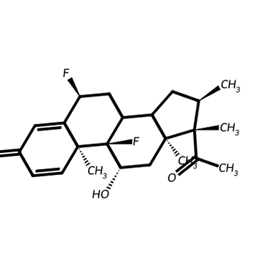 CC(=O)[C@@]1(C)[C@H](C)CC2C3C[C@H](F)C4=CC(=O)C=C[C@]4(C)[C@@]3(F)[C@@H](O)C[C@@]21C